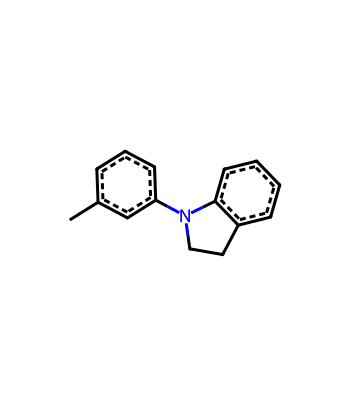 Cc1cccc(N2CCc3ccccc32)c1